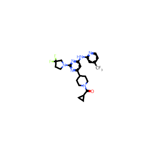 O=C(C1CC1)N1CCC(c2cc(Nc3cc(C(F)(F)F)ccn3)nc(N3CCC(F)(F)C3)n2)CC1